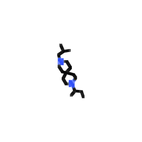 CCC(C)N1CCC2(CCN(CC(C)C)CC2)CC1